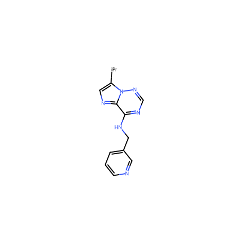 CC(C)c1cnc2c(NCc3cccnc3)ncnn12